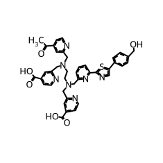 CC(=O)c1ccnc(CN(CCN(Cc2cc(C(=O)O)ccn2)Cc2cccc(-c3ncc(-c4ccc(CO)cc4)s3)n2)Cc2cc(C(=O)O)ccn2)c1